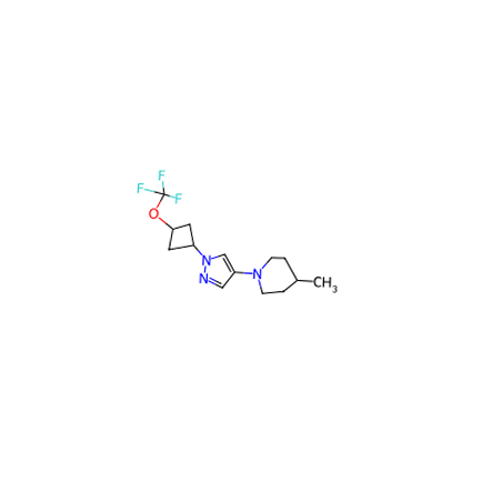 CC1CCN(c2cnn(C3CC(OC(F)(F)F)C3)c2)CC1